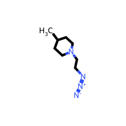 CC1CCN(CCN=[N+]=[N-])CC1